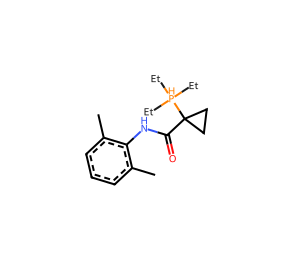 CC[PH](CC)(CC)C1(C(=O)Nc2c(C)cccc2C)CC1